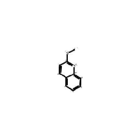 ISc1ccc2ccccc2n1